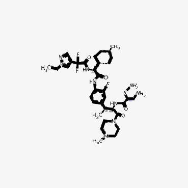 CCn1cc(C(F)(F)C(=O)N[C@H](C(=O)Nc2ccc([C@H](C)[C@@H](NC(=O)/C(=C/N)SN)C(=O)N3CCN(C)CC3)cc2F)[C@H]2CC[C@H](C)CC2)cn1